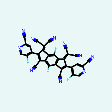 N#CC(C#N)=C1C(c2cc(C#N)ncc2F)=C(C#N)c2c(F)c3c(c(F)c21)C(=C(C#N)C#N)C(c1cc(C#N)ncc1F)=C3C#N